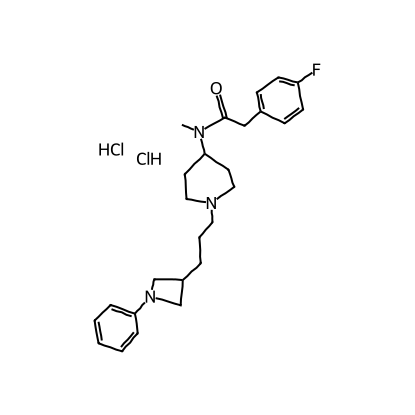 CN(C(=O)Cc1ccc(F)cc1)C1CCN(CCCC2CN(c3ccccc3)C2)CC1.Cl.Cl